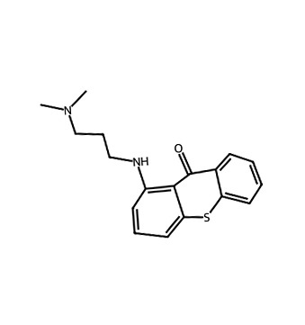 CN(C)CCCNc1cccc2sc3ccccc3c(=O)c12